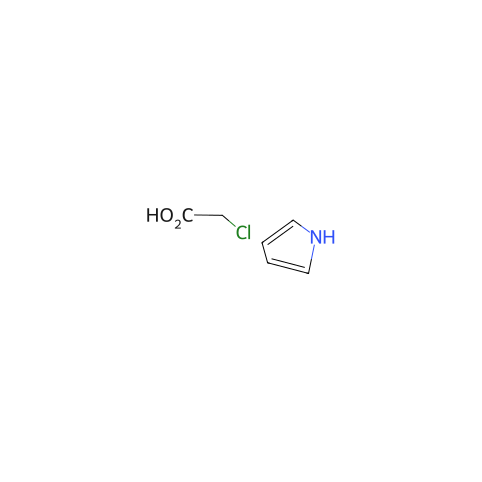 O=C(O)CCl.c1cc[nH]c1